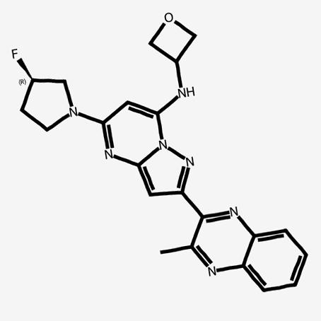 Cc1nc2ccccc2nc1-c1cc2nc(N3CC[C@@H](F)C3)cc(NC3COC3)n2n1